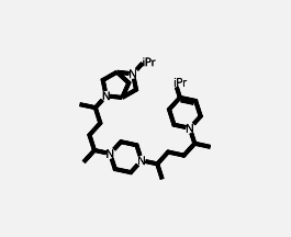 CC(C)C1=CCN(C(C)CCC(C)N2CCN(C(C)CCC(C)N3CC4CC3CN4C(C)C)CC2)CC1